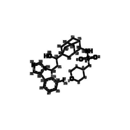 O=S(=O)(CC1CCOCC1)NC1C2CC3CC1CC(C(O)CC1c4c(F)cccc4-c4cncn41)(C3)C2